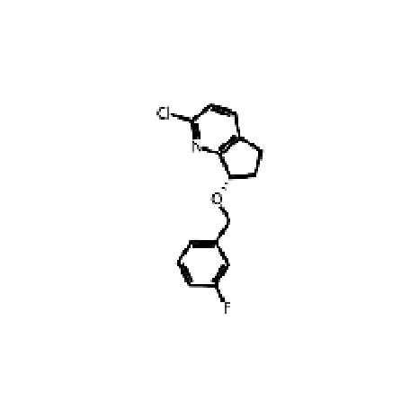 Fc1cccc(CO[C@H]2CCc3ccc(Cl)nc32)c1